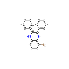 Brc1cccc2c1N=C(c1ccccc1)C(c1ccccc1)N2